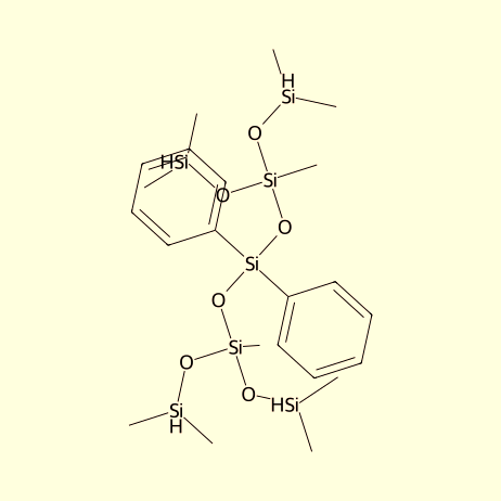 C[SiH](C)O[Si](C)(O[SiH](C)C)O[Si](O[Si](C)(O[SiH](C)C)O[SiH](C)C)(c1ccccc1)c1ccccc1